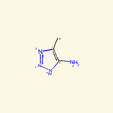 Cc1nn[nH]c1N